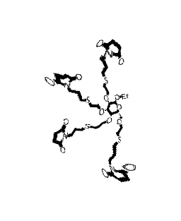 CCO[C@H]1O[C@H](COCCSCCCN2C(=O)C=CC2=O)[C@H](OCCSCCCN2C(=O)C=CC2=O)[C@H](OCCSCCCN2C(=O)C=CC2=O)[C@H]1OCCSCCCN1C(=O)C=CC1=O